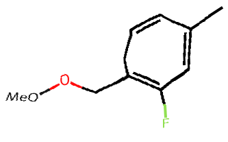 COOCc1ccc(C)cc1F